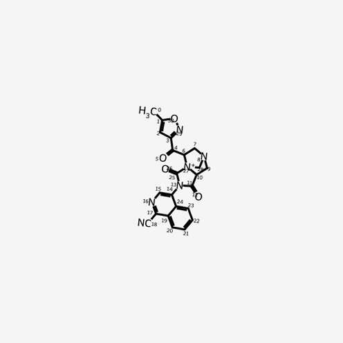 Cc1cc(C(=O)C2CN3CC4C(=O)N(c5cnc(C#N)c6ccccc56)C(=O)[N+]24C3)no1